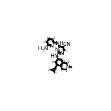 CN1CCc2c(cc(Nc3ncc(C#N)c(Nc4cccc(N)n4)n3)cc2C2CC2)C1